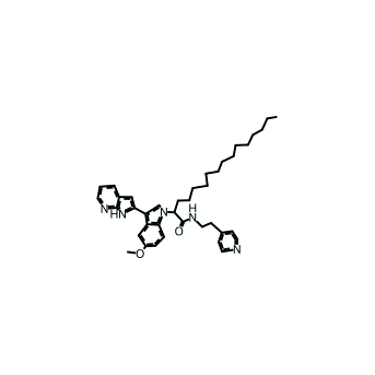 CCCCCCCCCCCCCCC(C(=O)NCCc1ccncc1)n1cc(-c2cc3cccnc3[nH]2)c2cc(OC)ccc21